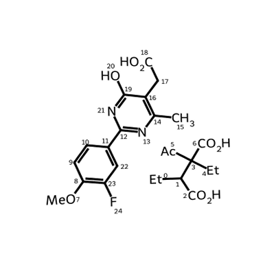 CCC(C(=O)O)C(CC)(C(C)=O)C(=O)O.COc1ccc(-c2nc(C)c(CC(=O)O)c(O)n2)cc1F